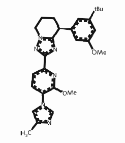 COc1cc([C@@H]2CCCn3nc(-c4ccc(-n5cnc(C)c5)c(OC)n4)nc32)cc(C(C)(C)C)c1